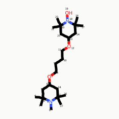 CN1C(C)(C)CC(OCCCCOC2CC(C)(C)N(O)C(C)(C)C2)CC1(C)C